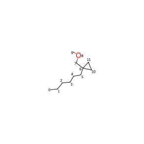 CCCCCCC1(COC)CC1